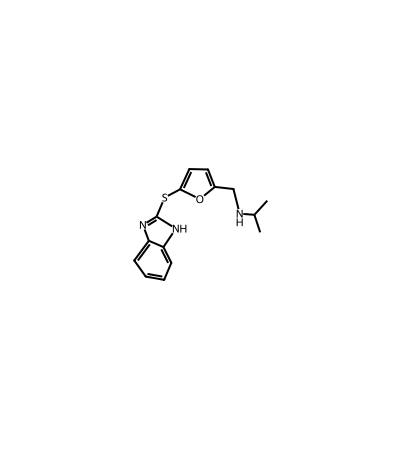 CC(C)NCc1ccc(Sc2nc3ccccc3[nH]2)o1